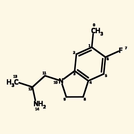 Cc1cc2c(cc1F)CCN2CC(C)N